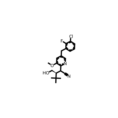 COc1cc(Cc2cccc(Cl)c2F)cnc1C(C#N)[C@H](CO)C(C)(C)C